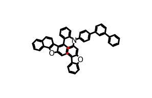 c1ccc(-c2cccc(-c3ccc(N(c4ccc5c(c4)oc4ccccc45)c4ccccc4-c4cccc5oc6c7ccccc7ccc6c45)cc3)c2)cc1